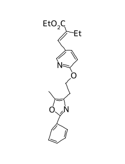 CCOC(=O)C(=Cc1ccc(OCCc2nc(-c3ccccc3)oc2C)nc1)CC